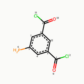 O=C(Cl)c1cc(P)cc(C(=O)Cl)c1